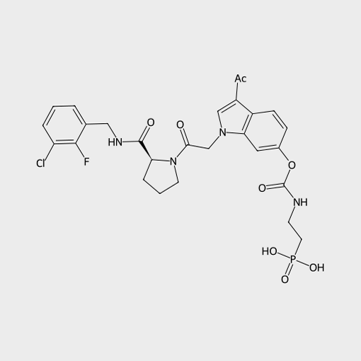 CC(=O)c1cn(CC(=O)N2CCC[C@H]2C(=O)NCc2cccc(Cl)c2F)c2cc(OC(=O)NCCP(=O)(O)O)ccc12